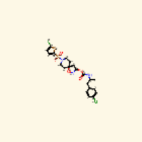 CC(Cc1ccc(Cl)cc1)NC(=O)OC1=NOC2(CCN(S(=O)(=O)c3ccc(Cl)s3)CC2)C1